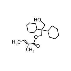 CC=C(C)C(=O)OCC(CO)(C1CCCCC1)C1CCCCC1